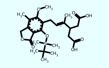 COc1c(C)c2c(c(O[Si](C)(C)C(C)(C)C)c1C/C=C(\C)C(CC(=O)O)CC(=O)O)C(=O)OC2